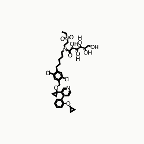 CCS(=O)(=O)CCN(CCCCCc1cc(Cl)c(COC2(c3cnccc3-c3ccccc3OC3CC3)CC2)cc1Cl)C(=O)[C@H](O)[C@H](O)[C@@H](O)[C@H](O)CO